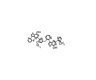 Cn1ccnc1-c1nc(O)c2scc(-c3ncccc3Cc3cn(C)c(-c4nc(O)c5scc(-c6ncccc6F)c5n4)n3)c2n1